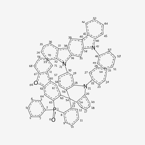 O=P1(c2ccccc2)c2ccccc2C2(c3ccccc3N(c3ccccc3)c3cc(-n4c5ccccc5c5cc6c7ccccc7n(-c7ccccc7)c6cc54)ccc32)c2cc3c(cc21)oc1ccccc13